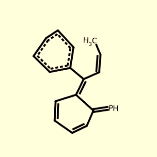 C/C=C\C(=C1\C=CC=CC1=P)c1ccccc1